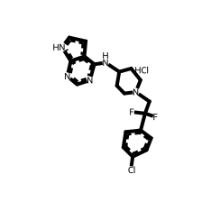 Cl.FC(F)(CN1CCC(Nc2ncnc3[nH]ccc23)CC1)c1ccc(Cl)cc1